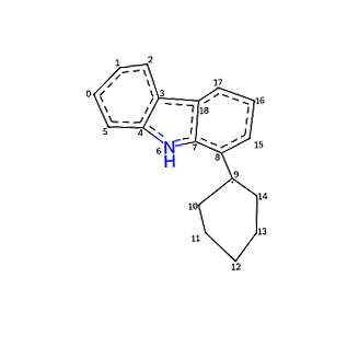 c1ccc2c(c1)[nH]c1c([C]3CCCCC3)cccc12